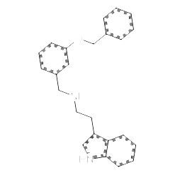 c1ccc(COc2cccc(CNCCc3c[nH]c4ccccc34)c2)cc1